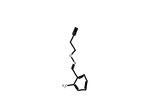 C#CCCON=[C]c1ccccc1C(F)(F)F